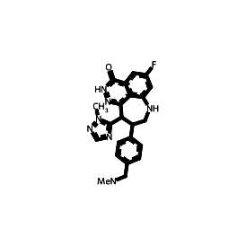 CNCc1ccc(C2CNc3cc(F)cc4c(=O)[nH]nc(c34)C2c2ncnn2C)cc1